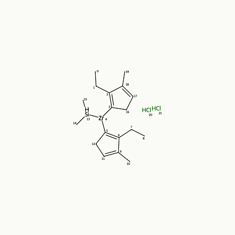 CCC1=[C]([Zr]([C]2=C(CC)C(C)=CC2)[SiH](C)C)CC=C1C.Cl.Cl